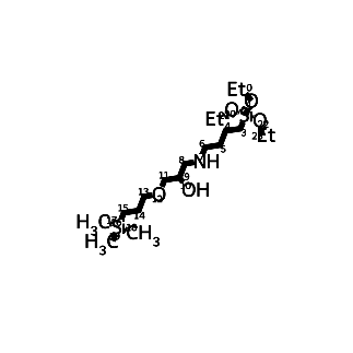 CCO[Si](CCCCNCC(O)COCCC[Si](C)(C)C)(OCC)OCC